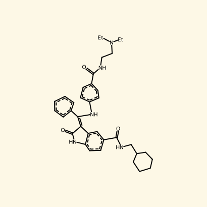 CCN(CC)CCNC(=O)c1ccc(NC(=C2C(=O)Nc3ccc(C(=O)NCC4CCCCC4)cc32)c2ccccc2)cc1